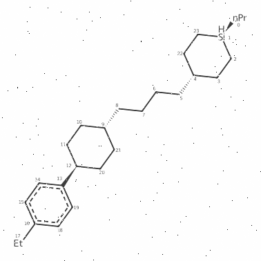 CCC[Si@H]1CC[C@H](CCCC[C@H]2CC[C@H](c3ccc(CC)cc3)CC2)CC1